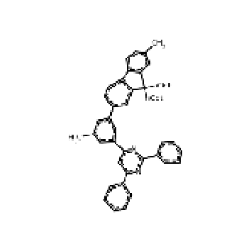 CCCCCCCCC1(CCCCCCCC)c2cc(C)ccc2-c2ccc(-c3cc(C)cc(-c4cc(-c5ccccc5)nc(-c5ccccc5)n4)c3)cc21